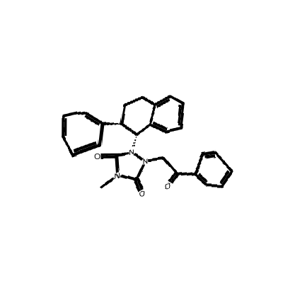 Cn1c(=O)n(CC(=O)c2ccccc2)n([C@H]2c3ccccc3CC[C@@H]2c2ccccc2)c1=O